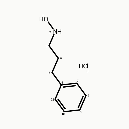 Cl.ONCCCc1ccccc1